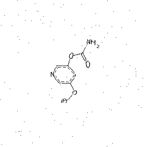 CC(C)Oc1cncc(OC(N)=O)c1